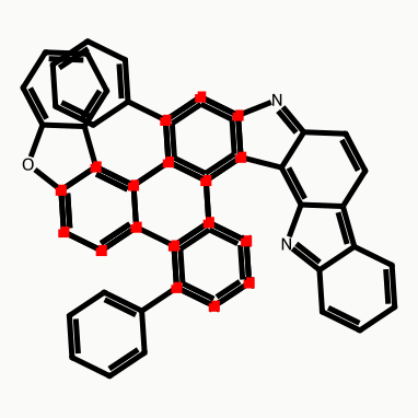 c1ccc(-c2ccccc2-c2ccccc2-c2c(-c3ccccc3)nnnc2-c2c3c(cc(-c4ccccc4)c2-c2cccc4oc5ccccc5c24)N=c2ccc4c(c2-3)N=c2ccccc2=4)cc1